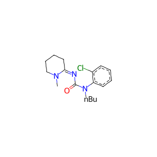 CCCCN(C(=O)/N=C1/CCCCN1C)c1ccccc1Cl